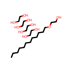 CCCCCCCCCCCCOCCO.OCCO.OCCO.OCCO.OCCO